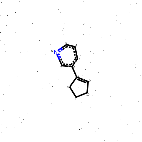 C1=C(c2cccnc2)CCC1